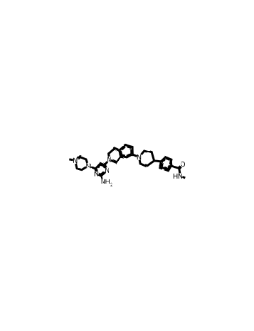 CNC(=O)c1ccc(C2CCN(c3ccc4c(c3)CN(c3cc(N5CCN(C)CC5)nc(N)n3)CC4)CC2)cc1